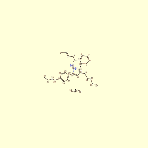 CC=CCCc1ccccc1C1=C(CCCCC)C=C(c2ccc(CCCC)cc2)[N+]1=[N-].[CH3][Ni][CH3]